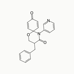 O=C1C=CC2(C=C1)OCC(Cc1ccccc1)C(=O)N2c1cccnc1